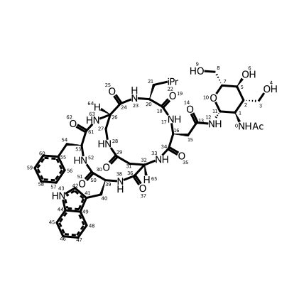 CC(=O)N[C@@H]1[C@@H](CO)[C@H](O)[C@@H](CO)O[C@H]1NC(=O)C[C@@H]1NC(=O)[C@H](CC(C)C)NC(=O)[C@@H]2CNC(=O)C[C@H](NC1=O)C(=O)N[C@@H](Cc1c[nH]c3ccccc13)C(=O)N[C@@H](Cc1ccccc1)C(=O)N2